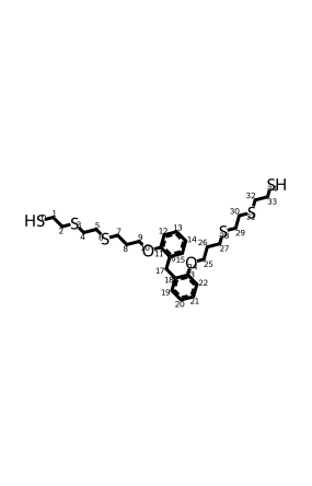 SCCSCCSCCCOc1ccccc1Cc1ccccc1OCCCSCCSCCS